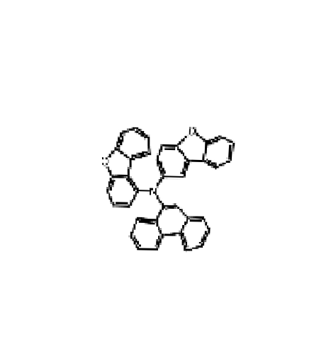 c1ccc2c(c1)cc(N(c1ccc3oc4ccccc4c3c1)c1cccc3oc4ccccc4c13)c1ccccc12